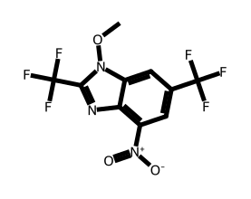 COn1c(C(F)(F)F)nc2c([N+](=O)[O-])cc(C(F)(F)F)cc21